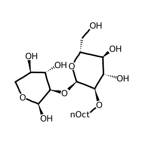 CCCCCCCCO[C@H]1[C@@H](O[C@@H]2[C@@H](O)[C@H](O)CO[C@@H]2O)O[C@H](CO)[C@@H](O)[C@@H]1O